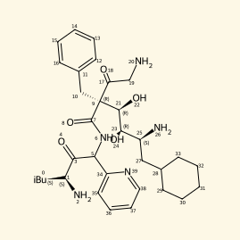 CC[C@H](C)[C@H](N)C(=O)C(NC(=O)[C@@](Cc1ccccc1)(C(=O)CN)[C@@H](O)[C@H](O)[C@@H](N)CC1CCCCC1)c1ccccn1